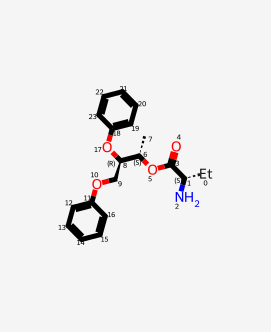 CC[C@H](N)C(=O)O[C@@H](C)[C@@H](COc1ccccc1)Oc1ccccc1